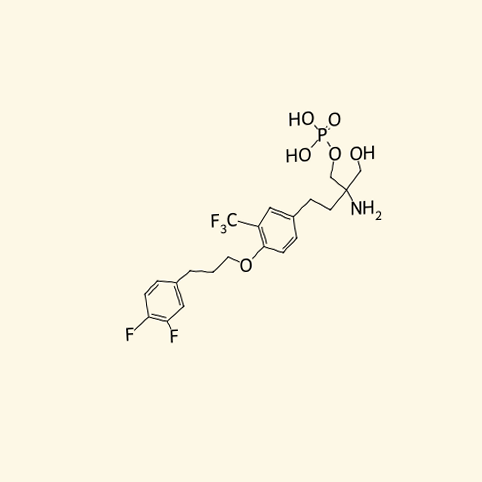 NC(CO)(CCc1ccc(OCCCc2ccc(F)c(F)c2)c(C(F)(F)F)c1)COP(=O)(O)O